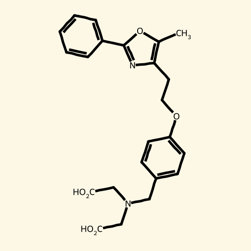 Cc1oc(-c2ccccc2)nc1CCOc1ccc(CN(CC(=O)O)CC(=O)O)cc1